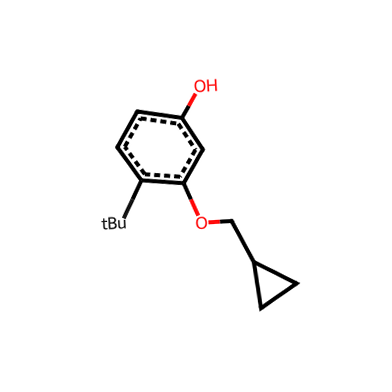 CC(C)(C)c1ccc(O)cc1OCC1CC1